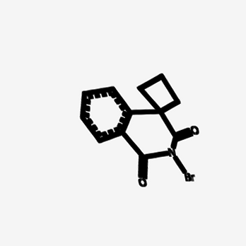 O=C1c2ccccc2C2(CCC2)C(=O)N1Br